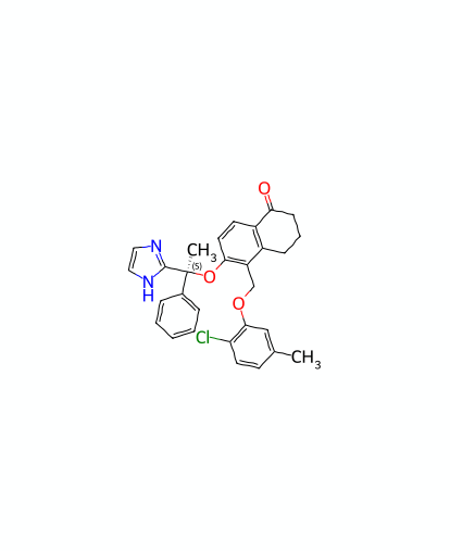 Cc1ccc(Cl)c(OCc2c(O[C@@](C)(c3ccccc3)c3ncc[nH]3)ccc3c2CCCC3=O)c1